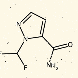 NC(=O)c1ccnn1C(F)F